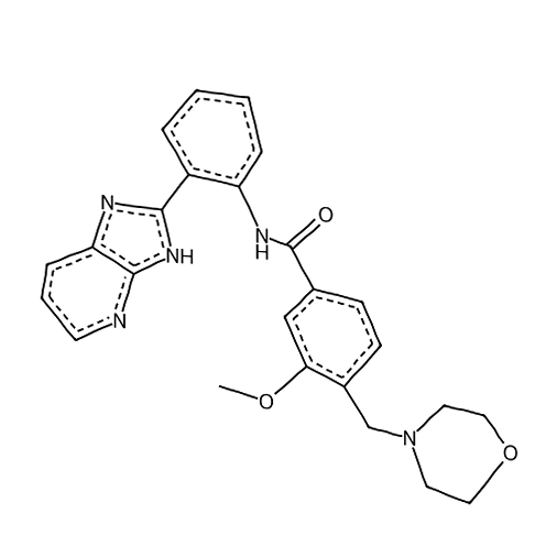 COc1cc(C(=O)Nc2ccccc2-c2nc3cccnc3[nH]2)ccc1CN1CCOCC1